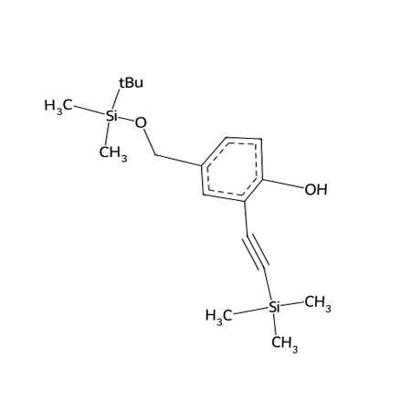 CC(C)(C)[Si](C)(C)OCc1ccc(O)c(C#C[Si](C)(C)C)c1